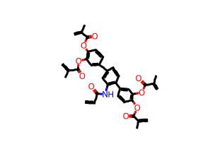 C=CC(=O)Nc1cc(-c2ccc(OC(=O)C(=C)C)c(OC(=O)C(=C)C)c2)ccc1-c1ccc(OC(=O)C(=C)C)c(OC(=O)C(=C)C)c1